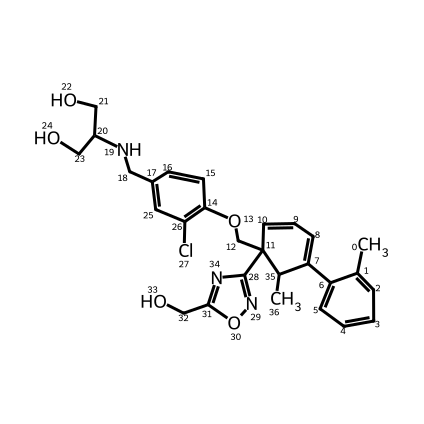 Cc1ccccc1C1=CC=CC(COc2ccc(CNC(CO)CO)cc2Cl)(c2noc(CO)n2)C1C